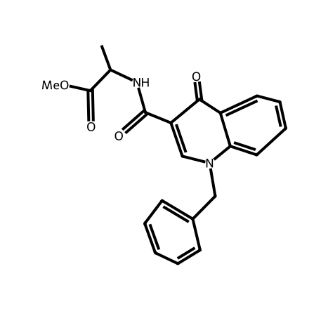 COC(=O)C(C)NC(=O)c1cn(Cc2ccccc2)c2ccccc2c1=O